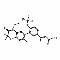 CCN1C(=O)C(C)(C)Oc2cc(C)c(-c3cc(/C(C)=C/C(=O)O)ccc3OC(F)(F)F)cc21